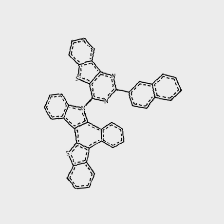 c1ccc2cc(-c3nc(-n4c5ccccc5c5c6sc7ccccc7c6c6ccccc6c54)c4sc5ccccc5c4n3)ccc2c1